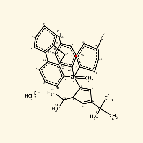 Cl.Cl.[CH2]=[Zr]([C]1=CC(C(C)(C)C)=CC1C(C)C)([c]1ccc(Cl)cc1)([c]1ccc(Cl)cc1)[c]1cccc2c1Cc1ccccc1-2